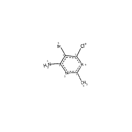 Cc1nc(N)c(Br)c(Cl)n1